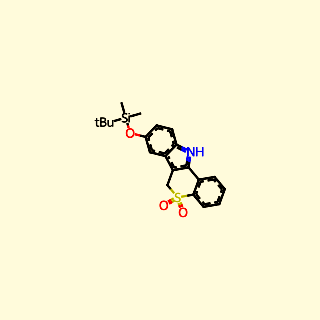 CC(C)(C)[Si](C)(C)Oc1ccc2[nH]c3c(c2c1)CS(=O)(=O)c1ccccc1-3